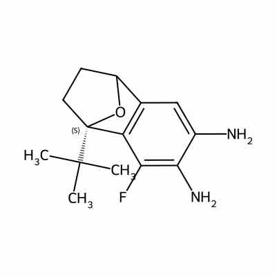 CC(C)(C)[C@]12CCC(O1)c1cc(N)c(N)c(F)c12